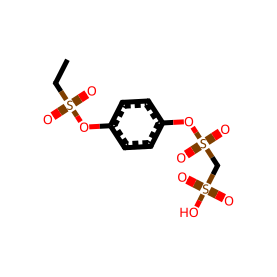 CCS(=O)(=O)Oc1ccc(OS(=O)(=O)CS(=O)(=O)O)cc1